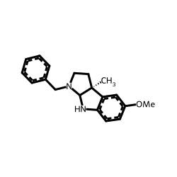 COc1ccc2c(c1)[C@]1(C)CCN(Cc3ccccc3)C1N2